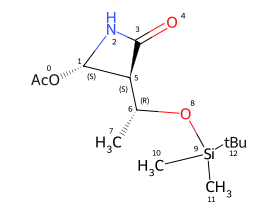 CC(=O)O[C@@H]1NC(=O)[C@H]1[C@@H](C)O[Si](C)(C)C(C)(C)C